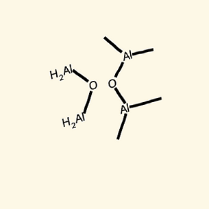 [AlH2][O][AlH2].[CH3][Al]([CH3])[O][Al]([CH3])[CH3]